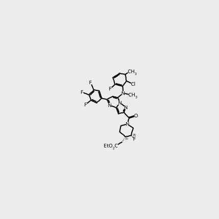 CCOC(=O)C[C@@H]1CCN(C(=O)c2cc3nc(-c4cc(F)c(F)c(F)c4)cc(N(C)C4=C(F)C=CC(C)C4Cl)n3n2)C[C@@H]1F